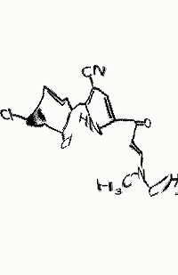 CN(C)C=CC(=O)c1cc(C#N)c(-c2ccc(Cl)cc2Cl)[nH]1